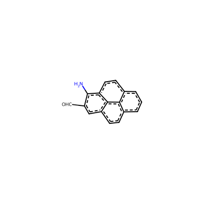 Nc1c(C=O)cc2ccc3cccc4ccc1c2c34